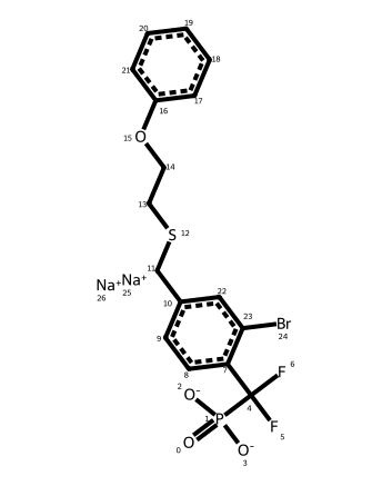 O=P([O-])([O-])C(F)(F)c1ccc(CSCCOc2ccccc2)cc1Br.[Na+].[Na+]